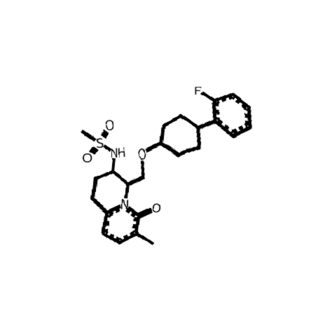 Cc1ccc2n(c1=O)C(COC1CCC(c3ccccc3F)CC1)C(NS(C)(=O)=O)CC2